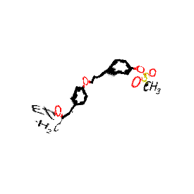 [CH2][C@@H]([CH]c1ccc(OCCc2ccc(OS(C)(=O)=O)cc2)cc1)OCC